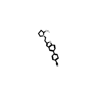 CC1CCCN1CCc1cc2cc(-c3ccc(C#N)cc3)ccc2o1